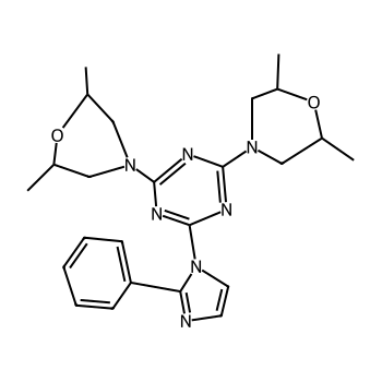 CC1CN(c2nc(N3CC(C)OC(C)C3)nc(-n3ccnc3-c3ccccc3)n2)CC(C)O1